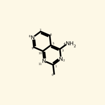 Cc1nc(N)c2ccncc2n1